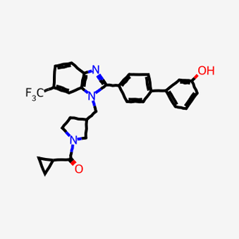 O=C(C1CC1)N1CCC(Cn2c(-c3ccc(-c4cccc(O)c4)cc3)nc3ccc(C(F)(F)F)cc32)C1